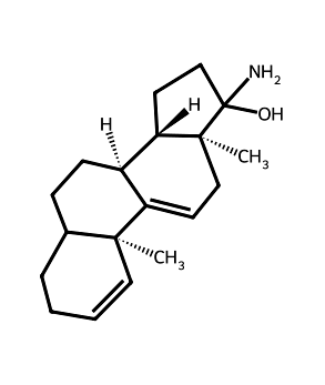 C[C@]12CC=C3[C@@H](CCC4CCC=C[C@]34C)[C@@H]1CCC2(N)O